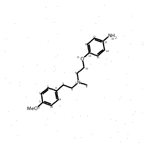 COc1ccc(CCN(C)CCOc2ccc(N)cc2)cc1